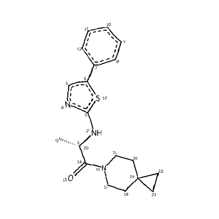 C[C@H](Nc1ncc(-c2ccccc2)s1)C(=O)N1CCC2(CC1)CC2